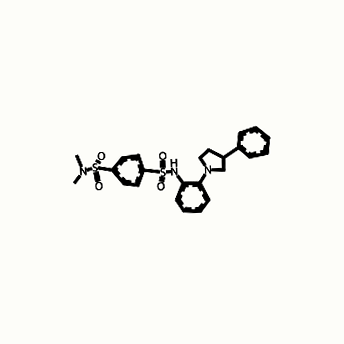 CN(C)S(=O)(=O)c1ccc(S(=O)(=O)Nc2ccccc2N2CCC(c3ccccc3)C2)cc1